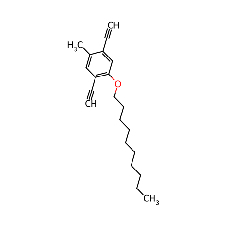 C#Cc1cc(OCCCCCCCCCC)c(C#C)cc1C